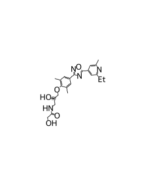 CCc1cc(-c2nc(-c3cc(C)c(OC[C@H](O)CNC(=O)CO)c(C)c3)no2)cc(C)n1